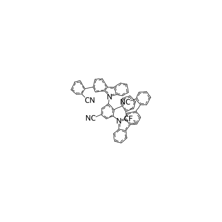 N#Cc1cc(-n2c3ccccc3c3ccc(-c4ccccc4C#N)cc32)c(-c2ccccc2C(F)(F)F)c(-n2c3ccccc3c3ccc(-c4ccccc4C#N)cc32)c1